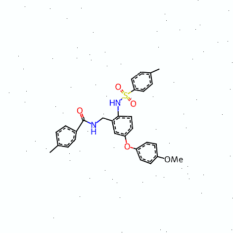 COc1ccc(Oc2ccc(NS(=O)(=O)c3ccc(C)cc3)c(CNC(=O)c3ccc(C)cc3)c2)cc1